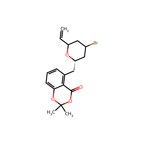 C=CC1CC(Br)C[C@H](Cc2cccc3c2C(=O)OC(C)(C)O3)O1